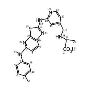 Cc1ccc(N(C)c2ccc3nc(Nc4cc(CNC(C)C(=O)O)ccn4)sc3n2)cc1